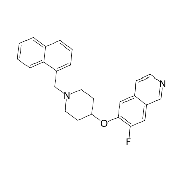 Fc1cc2cnccc2cc1OC1CCN(Cc2cccc3ccccc23)CC1